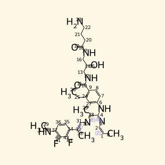 C\C=C/N=C(Nc1ccc(C(=O)NCC(O)CNC(=O)CCCN)c(CC)c1)\C(C)=N\C=C(/C)c1ccc(NC)c(F)c1F